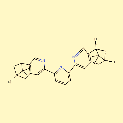 CC1(C)C2C[C@@H]1Cc1cc(-c3cccc(-c4cc5c(cn4)[C@@H]4C[C@H](C5)C4(C)C)n3)ncc12